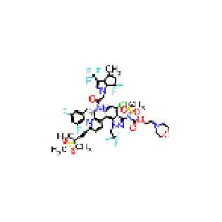 C[C@H]1CC(F)(F)c2c1c(C(F)(F)F)cn2CC(=O)N[C@@H](Cc1cc(F)cc(F)c1)c1nc(C#CC(C)(C)S(C)(=O)=O)ccc1-c1ccc(Cl)c2c(N(C(=O)OCCN3CCOCC3)S(C)(=O)=O)nn(CC(F)(F)F)c12